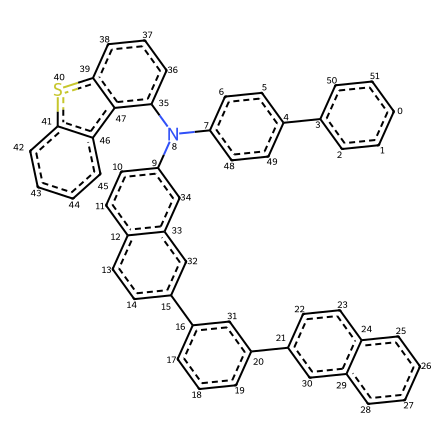 c1ccc(-c2ccc(N(c3ccc4ccc(-c5cccc(-c6ccc7ccccc7c6)c5)cc4c3)c3cccc4sc5ccccc5c34)cc2)cc1